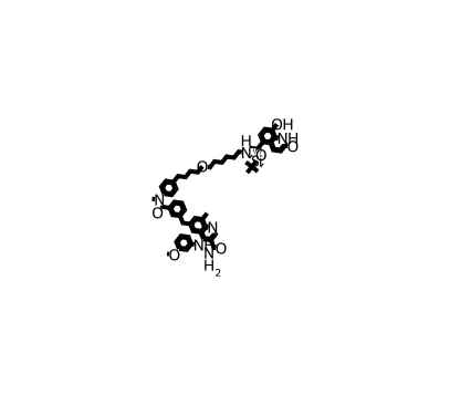 COc1cccc(Nc2c(C(N)=O)cnc3c(C)cc(Cc4cccc(C(=O)N(C)c5ccc(CCCCOCCCCCCNC[C@H](O[Si](C)(C)C(C)(C)C)c6ccc(O)c7[nH]c(=O)ccc67)cc5)c4)cc23)c1